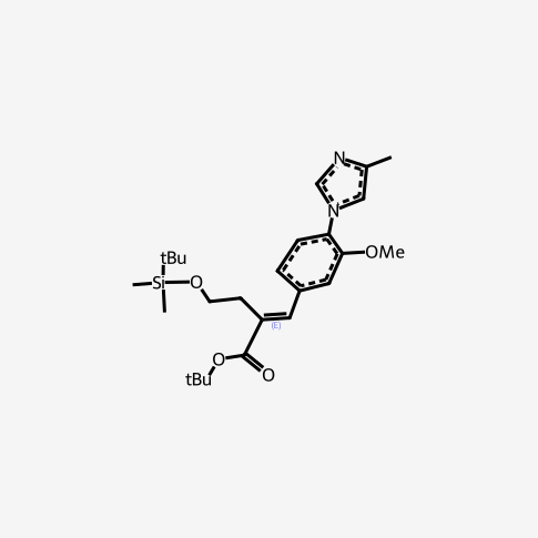 COc1cc(/C=C(\CCO[Si](C)(C)C(C)(C)C)C(=O)OC(C)(C)C)ccc1-n1cnc(C)c1